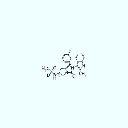 Cn1nc2cccc(-c3c(F)cccc3F)c2c1-n1cc2n(c1=O)C[C@@H](NS(C)(=O)=O)C2